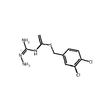 C=C(N/C(N)=N\N)SCc1ccc(Cl)c(Cl)c1